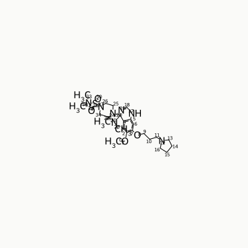 COc1cc2c(cc1OCCCN1CCCC1)NC=NC2(N(C)C)N1CCN(S(=O)(=O)N(C)C)CC1